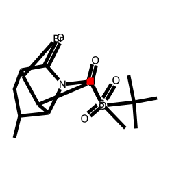 CC1CC2C(=O)N(C(=O)OC(C)(C)C)C1C(OS(C)(=O)=O)C2Br